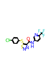 O=C(Nc1ccc(C(F)(F)F)nc1)c1nnsc1Sc1ccc(Cl)cc1